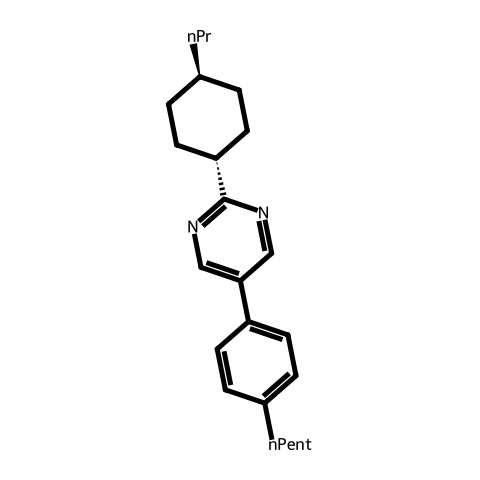 CCCCCc1ccc(-c2cnc([C@H]3CC[C@H](CCC)CC3)nc2)cc1